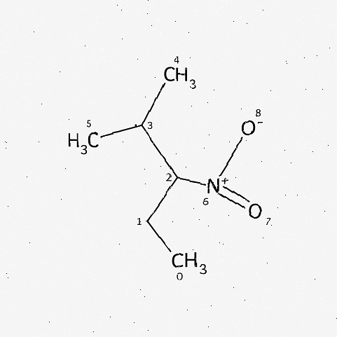 CCC([C](C)C)[N+](=O)[O-]